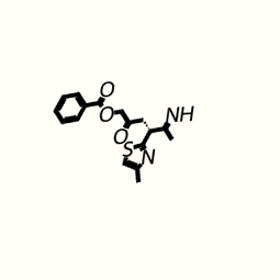 CC(=N)[C@@H](CC(=O)COC(=O)c1ccccc1)c1nc(C)cs1